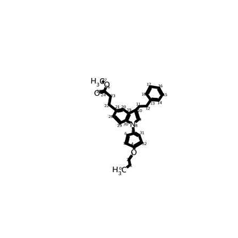 CCCOc1ccc(-n2cc(CCc3ccccc3)c3cc(CCC(=O)OC)ccc32)cc1